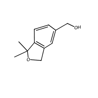 CC1(C)OCc2cc(CO)ccc21